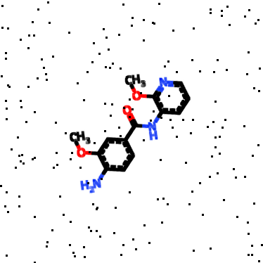 COc1cc(C(=O)Nc2cccnc2OC)ccc1N